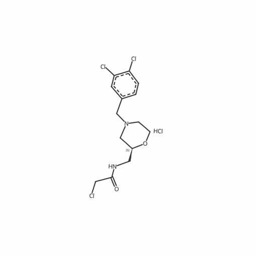 Cl.O=C(CCl)NC[C@H]1CN(Cc2ccc(Cl)c(Cl)c2)CCO1